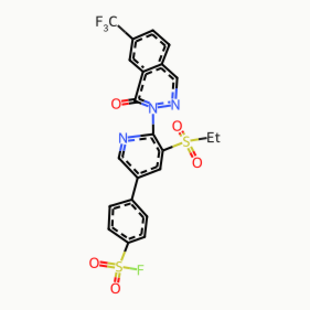 CCS(=O)(=O)c1cc(-c2ccc(S(=O)(=O)F)cc2)cnc1-n1ncc2ccc(C(F)(F)F)cc2c1=O